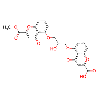 COC(=O)c1cc(=O)c2c(OCC(O)COc3cccc4oc(C(=O)O)cc(=O)c34)cccc2o1